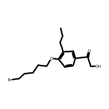 CCCc1cc(C(=O)CO)ccc1OCCCCCBr